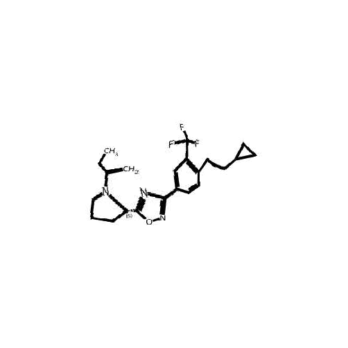 C=C(CC)N1CCC[C@H]1c1nc(-c2ccc(CCC3CC3)c(C(F)(F)F)c2)no1